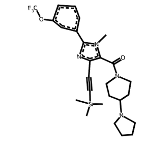 Cn1c(-c2cccc(OC(F)(F)F)c2)nc(C#C[Si](C)(C)C)c1C(=O)N1CCC(N2CCCC2)CC1